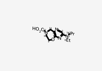 CCN(c1cnc2c(n1)OCCN(C(=O)O)C2)C(C)C